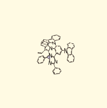 C=Cc1c(/C=C\C)n(-c2c(-c3nc(-c4ccccc4)nc(-c4ccccc4)n3)cc(-n3c4ccccc4c4ccccc43)cc2-n2c3ccccc3c3ccccc32)c2ccccc12